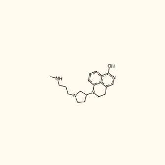 CNCCCN1CCC(N2CCc3cnc(O)c4cccc2c34)C1